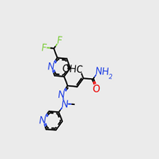 CN(/N=C(\C=C(/C=O)C(N)=O)c1ccc(C(F)F)nc1)c1cccnc1